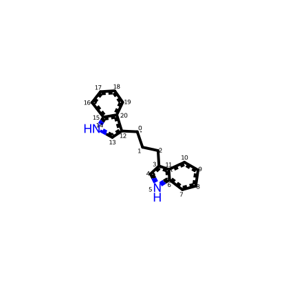 [CH](CCc1c[nH]c2ccccc12)c1c[nH]c2ccccc12